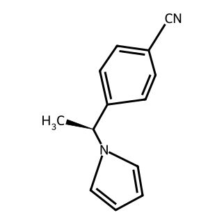 C[C@@H](c1ccc(C#N)cc1)n1cccc1